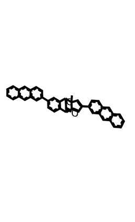 CC12C=C(c3ccc4cc5ccccc5cc4c3)C=C1C1C(=O)C(=O)C2c2cc(-c3ccc4cc5ccccc5cc4c3)ccc21